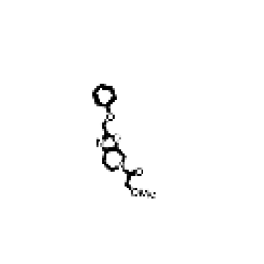 COCC(=O)N1CCc2nc(COc3ccccc3)oc2C1